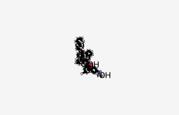 CC(C)CN(C[C@@H](O)[C@H](Cc1ccccc1)NC(=O)[C@@H](N1CCN(Cc2csc(-c3cccs3)n2)C1=O)C(C)(C)C)S(=O)(=O)c1ccc(/C=N/O)cc1